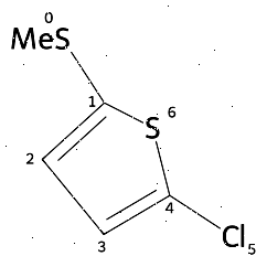 CSc1ccc(Cl)s1